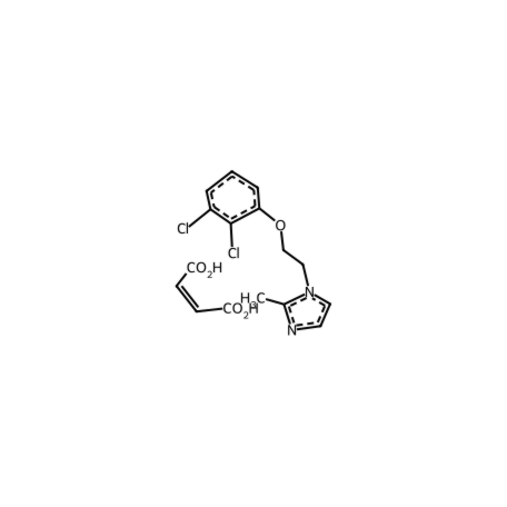 Cc1nccn1CCOc1cccc(Cl)c1Cl.O=C(O)/C=C\C(=O)O